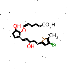 Cc1sc(CC[C@H](O)/C=C/[C@H]2CCC(O)[C@@H]2O/C=C\CCCC(=O)O)cc1Br